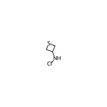 ClNC1CSC1